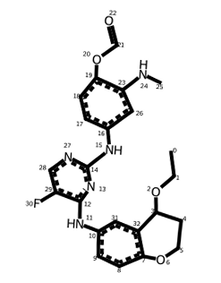 CCOC1CCOc2ccc(Nc3nc(Nc4ccc(OC=O)c(NC)c4)ncc3F)cc21